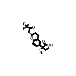 CCC(SC)(C(=O)O)c1ccc2c(c1)CC[C@H](CC(=O)C(F)(F)F)O2